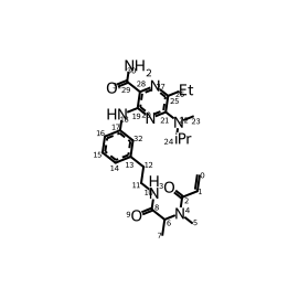 C=CC(=O)N(C)C(C)C(=O)NCCc1cccc(Nc2nc(N(C)C(C)C)c(CC)nc2C(N)=O)c1